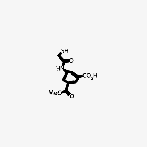 COC(=O)c1cc(NC(=O)CS)cc(C(=O)O)c1